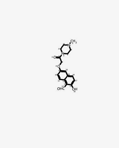 CN1CCN(C(=O)COc2ccc3c(C=O)c(O)ccc3c2)CC1